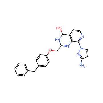 Nc1ccn(-c2nccc3c2N=C(COc2ccc(Cc4ccccc4)cc2)NC3O)n1